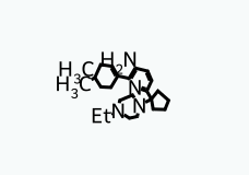 CCN1CCN(C2(c3ccc(N)c(C4=CCC(C)(C)CC4)n3)CCCC2)CC1